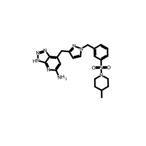 CC1CCN(S(=O)(=O)c2cccc(Cn3ccc(Cc4cc(N)nc5[nH]nnc45)n3)c2)CC1